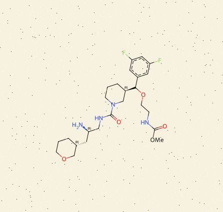 COC(=O)NCCOC(c1cc(F)cc(F)c1)[C@@H]1CCCN(C(=O)NC[C@H](N)C[C@H]2CCCOC2)C1